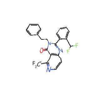 O=c1c2c(C(F)(F)F)nccc2nc(-c2ccccc2C(F)F)n1CCc1ccccc1